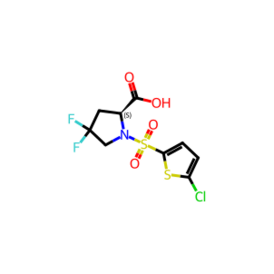 O=C(O)[C@@H]1CC(F)(F)CN1S(=O)(=O)c1ccc(Cl)s1